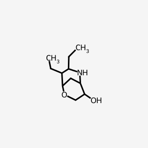 CCC1NC2CC(OCC2O)C1CC